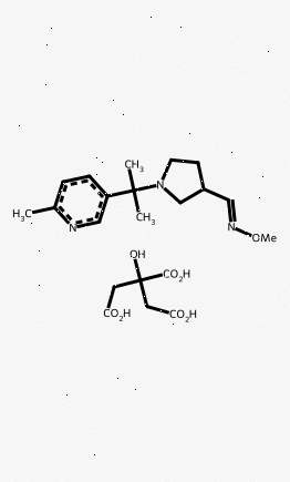 CON=CC1CCN(C(C)(C)c2ccc(C)nc2)C1.O=C(O)CC(O)(CC(=O)O)C(=O)O